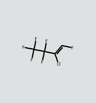 FC=C(Cl)C(F)(F)C(F)(F)F